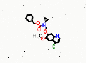 COc1cc2c(Cl)ccnc2cc1OCN(C(=O)OCc1ccccc1)C1CC1